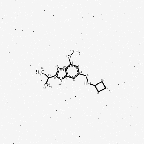 COc1cc(CNC2CCC2)cc2nc(C(C)C)oc12